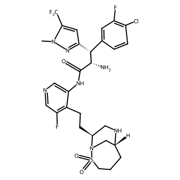 Cn1nc([C@H](c2ccc(Cl)c(F)c2)[C@H](N)C(=O)Nc2cncc(F)c2CC[C@H]2CN[C@@H]3CCCS(=O)(=O)N2C3)cc1C(F)(F)F